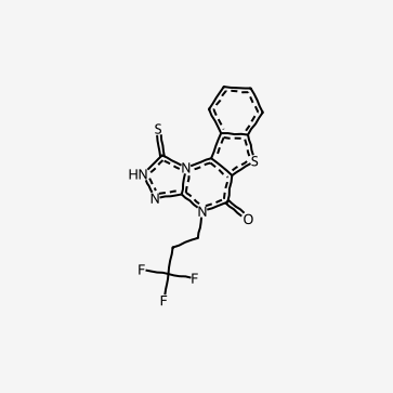 O=c1c2sc3ccccc3c2n2c(=S)[nH]nc2n1CCC(F)(F)F